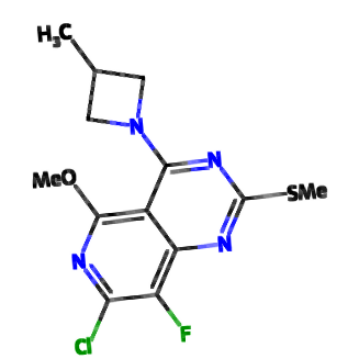 COc1nc(Cl)c(F)c2nc(SC)nc(N3CC(C)C3)c12